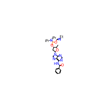 CC/N=C/OP(O[C@@H]1CC(n2cnc3c(NC(=O)c4ccccc4)ncnc32)OC1C)N(C(C)C)C(C)C